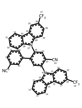 N#Cc1cccc(-c2cc(-n3c4ccccc4c4cc(C(F)(F)F)ccc43)c(C#N)cc2-n2c3ccccc3c3cc(C(F)(F)F)ccc32)c1